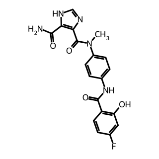 CN(C(=O)c1nc[nH]c1C(N)=O)c1ccc(NC(=O)c2ccc(F)cc2O)cc1